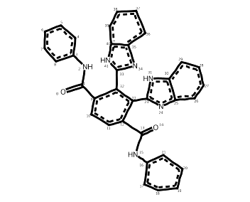 O=C(Nc1ccccc1)c1ccc(C(=O)Nc2ccccc2)c(-c2nc3ccccc3[nH]2)c1-c1nc2ccccc2[nH]1